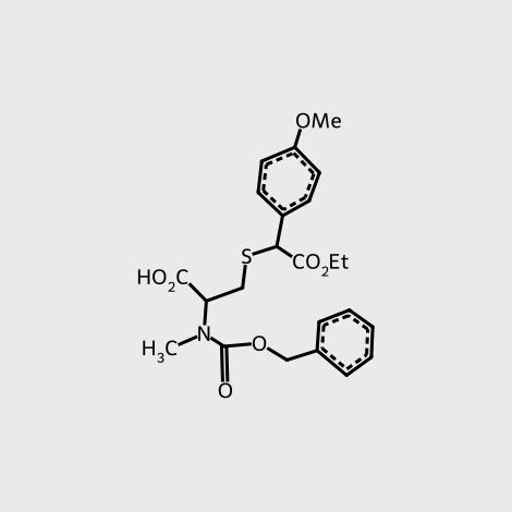 CCOC(=O)C(SCC(C(=O)O)N(C)C(=O)OCc1ccccc1)c1ccc(OC)cc1